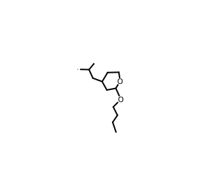 [CH2]C(C)CC1CCOC(OCCCC)C1